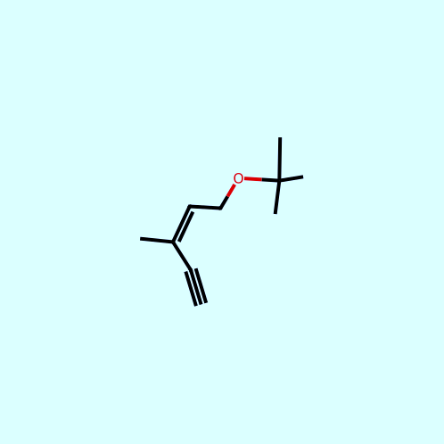 C#CC(C)=CCOC(C)(C)C